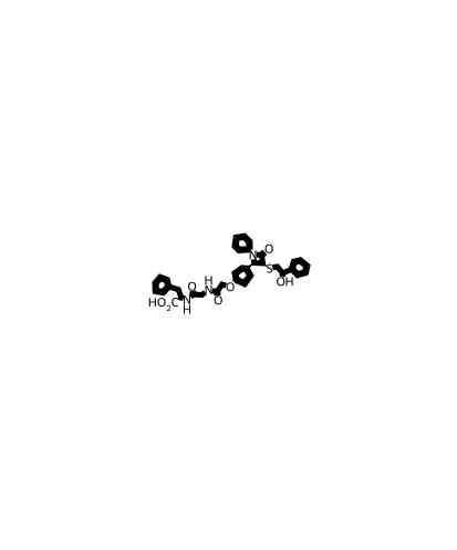 O=C(COc1ccc([C@@H]2[C@@H](SCC(O)c3ccccc3)C(=O)N2c2ccccc2)cc1)NCC(=O)N[C@H](Cc1ccccc1)C(=O)O